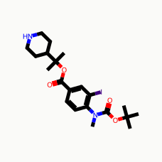 CN(C(=O)OC(C)(C)C)c1ccc(C(=O)OC(C)(C)C2CCNCC2)cc1I